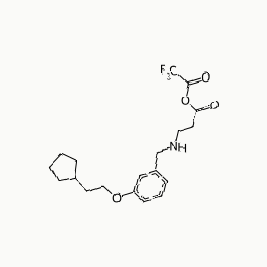 O=C(CCNCc1cccc(OCCC2CCCC2)c1)OC(=O)C(F)(F)F